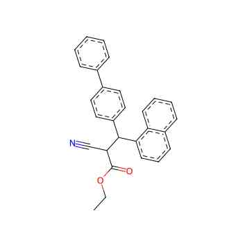 CCOC(=O)C(C#N)C(c1ccc(-c2ccccc2)cc1)c1cccc2ccccc12